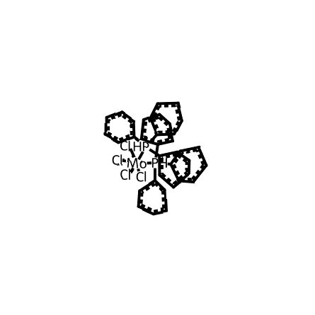 [Cl][Mo]([Cl])([Cl])([Cl])([PH](c1ccccc1)(c1ccccc1)c1ccccc1)[PH](c1ccccc1)(c1ccccc1)c1ccccc1